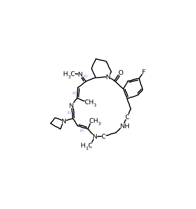 C\N=C1/C=C(C)/N=C(N2CCC2)\C=C(/C)N(C)CCNCCc2ccc(F)cc2C(=O)N2CCCCC12